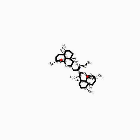 C[C@H]1[C@@H](/C(C[C@H]2O[C@@H]3O[C@]4(C)CC[C@H]5[C@H](C)CC[C@@H]([C@H]2C)[C@@]35OO4)=N\OC(C)(C)C)O[C@@H]2O[C@]3(C)CC[C@H]4[C@H](C)CC[C@@H]1[C@@]24OO3